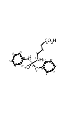 O=C(O)CCCNP(=O)(Oc1ccccc1)Oc1ccccc1